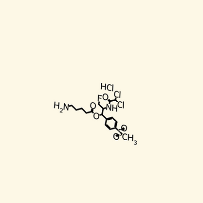 CS(=O)(=O)c1ccc(C(OC(=O)CCCCN)C(CF)NC(=O)C(Cl)Cl)cc1.Cl